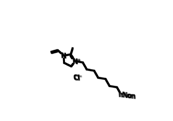 C=CN1CC[N+](CCCCCCCCCCCCCCCC)=C1C.[Cl-]